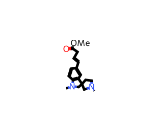 COC(=O)C/C=C/c1ccc2c(c1)C1(CCN(C)C1)CN2C